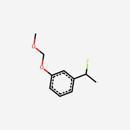 [CH2]C(F)c1cccc(OCOC)c1